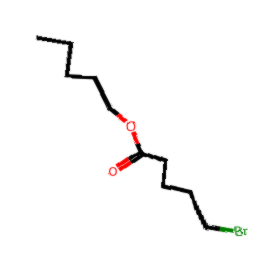 CCCCCOC(=O)CCCCBr